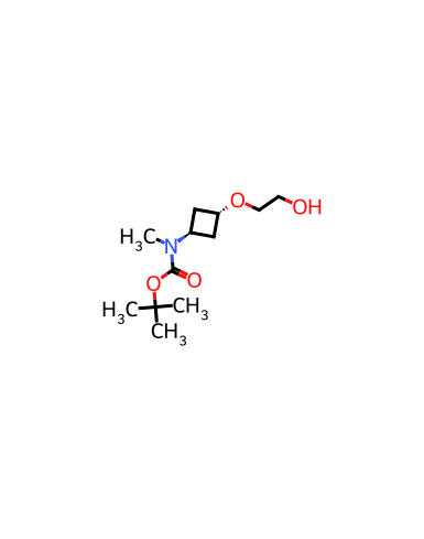 CN(C(=O)OC(C)(C)C)[C@H]1C[C@H](OCCO)C1